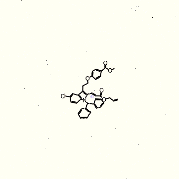 C=CCOC(=O)/C=C/c1c(CCOc2ccc(C(=O)OC)cc2)c2cc(Cl)ccc2n1C(c1ccccc1)c1ccccc1